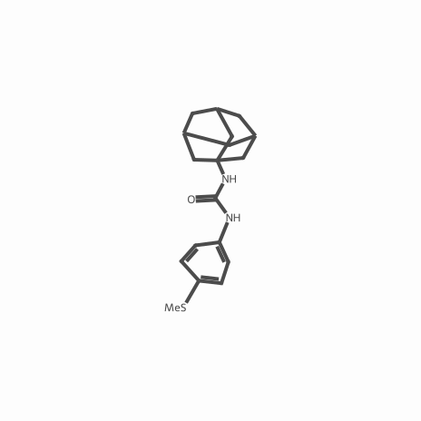 CSc1ccc(NC(=O)NC23CC4CC(CC(C4)C2)C3)cc1